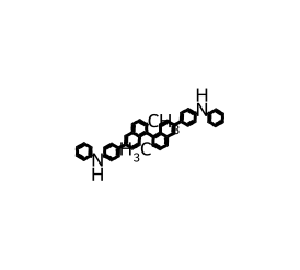 Cc1ccc2cc(-c3ccc(Nc4ccccc4)cc3)ccc2c1-c1c(C)ccc2cc(-c3ccc(Nc4ccccc4)cc3)ccc12